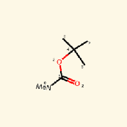 [CH2]NC(=O)OC(C)(C)C